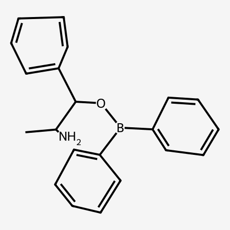 CC(N)C(OB(c1ccccc1)c1ccccc1)c1ccccc1